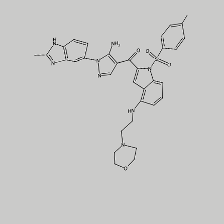 Cc1ccc(S(=O)(=O)n2c(C(=O)c3cnn(-c4ccc5[nH]c(C)nc5c4)c3N)cc3c(NCCN4CCOCC4)cccc32)cc1